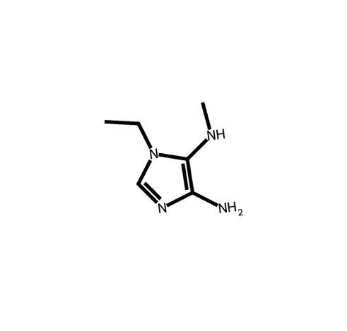 CCn1cnc(N)c1NC